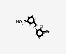 O=C(O)c1cccc(COc2cccc(Br)c2Cl)c1